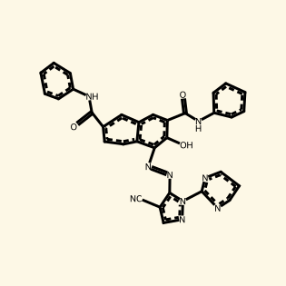 N#Cc1cnn(-c2ncccn2)c1/N=N/c1c(O)c(C(=O)Nc2ccccc2)cc2cc(C(=O)Nc3ccccc3)ccc12